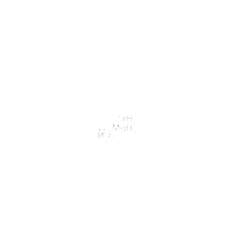 O.[MgH2].[Mn].[SrH2]